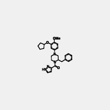 COc1ccc(N2CCN(C(=O)c3cc[nH]n3)C(Cc3ccccc3)C2)cc1OC1CCCC1